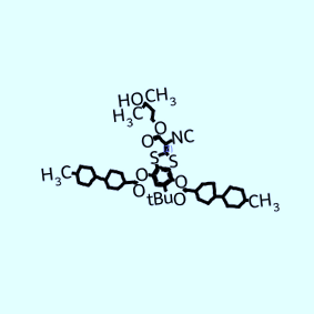 [C-]#[N+]/C(C(=O)OCCC(C)(C)O)=C1/Sc2c(OC(=O)C3CCC(C4CCC(C)CC4)CC3)cc(C(C)(C)C)c(OC(=O)C3CCC(C4CCC(C)CC4)CC3)c2S1